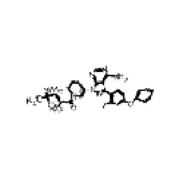 CNC(C)(C)C=C(C#N)C(=O)N1CCC[C@H](n2nc(-c3ccc(Oc4ccccc4)cc3F)c3c(N)ncnc32)C1